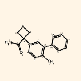 Cc1ccc(C2(C(N)=O)CCC2)cc1-c1ccccn1